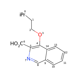 CC(C)CCOc1c(C(=O)O)ncc2ccccc12